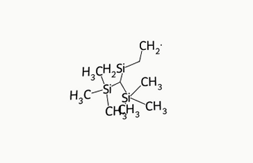 [CH2]C[SiH2]C([Si](C)(C)C)[Si](C)(C)C